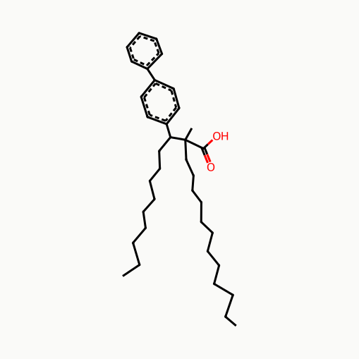 CCCCCCCCCCCCC(C)(C(=O)O)C(CCCCCCCCC)c1ccc(-c2ccccc2)cc1